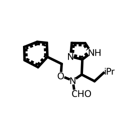 CC(C)CC(c1ncc[nH]1)N(C=O)OCc1ccccc1